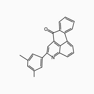 Cc1cc(C)cc(-c2cc3c4c(cccc4n2)-c2ccccc2C3=O)c1